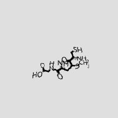 CSC(C[C@H](N)C(=O)NCC(=O)O)C(=O)[C@@H](N)CS